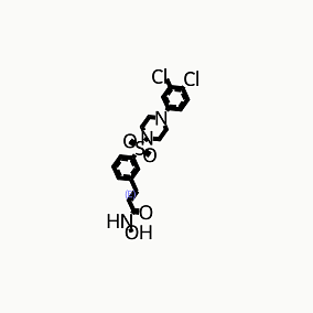 O=C(/C=C/c1cccc(S(=O)(=O)N2CCN(c3ccc(Cl)c(Cl)c3)CC2)c1)NO